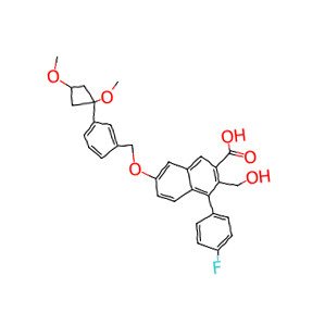 COC1CC(OC)(c2cccc(COc3ccc4c(-c5ccc(F)cc5)c(CO)c(C(=O)O)cc4c3)c2)C1